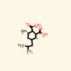 CC(C)CC1CCC(C(=O)O)C(C(=O)O)C1.[AlH3]